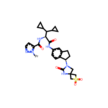 CC(C)n1nccc1C(=O)N[C@H](C(=O)Nc1ccc2c(c1)CC[C@H]2N1CC2(CS(=O)(=O)C2)NC1=O)C(C1CC1)C1CC1